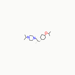 CC(C)O[C@H]1CC[C@H](C[C@H](C)CN2CCN(C(C)C)CC2)CC1